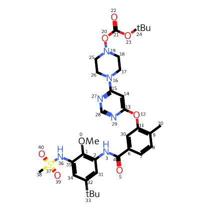 COc1c(NC(=O)c2ccc(C)c(Oc3cc(N4CCN(OC(=O)OC(C)(C)C)CC4)ncn3)c2)cc(C(C)(C)C)cc1NS(C)(=O)=O